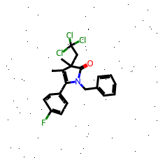 CC1=C(c2ccc(F)cc2)N(Cc2ccccc2)C(=O)C1(C)CC(Cl)(Cl)Cl